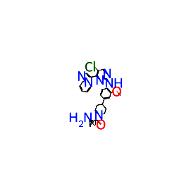 COc1cc(C2CCN(C(=O)[C@@H](C)N)CC2)ccc1Nc1ncc(Cl)c(-c2cnc3ccccn23)n1